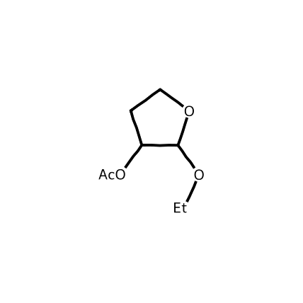 CCOC1OCCC1OC(C)=O